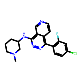 CN1CCCC(Nc2nnc(-c3ccc(Cl)cc3F)c3ccncc23)C1